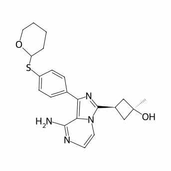 C[C@]1(O)C[C@@H](c2nc(-c3ccc(SC4CCCCO4)cc3)c3c(N)nccn32)C1